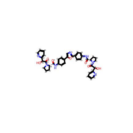 O=C(Nc1ccc(-c2cnc(-c3ccc(NC(=O)[C@@H]4CCCN4C(=O)C(O)c4ccccn4)cc3)o2)cc1)[C@@H]1CCCN1C(=O)C(O)c1ccccn1